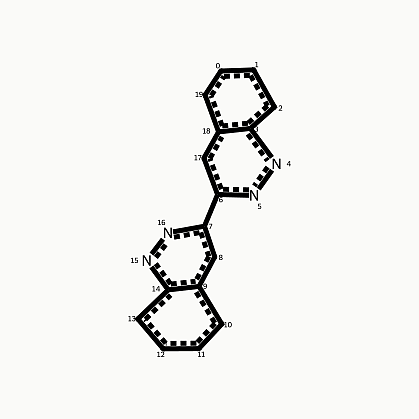 c1ccc2nnc(-c3cc4ccccc4nn3)cc2c1